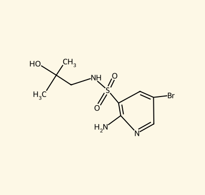 CC(C)(O)CNS(=O)(=O)c1cc(Br)cnc1N